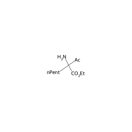 CCCCCC(N)(C(C)=O)C(=O)OCC